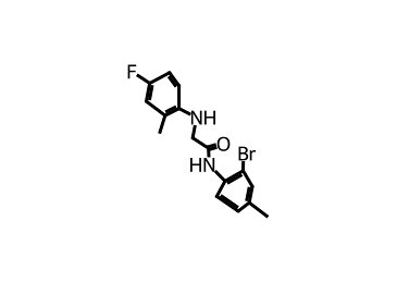 Cc1ccc(NC(=O)CNc2ccc(F)cc2C)c(Br)c1